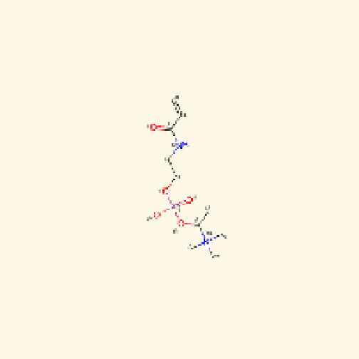 C=CC(=O)NCCOP(=O)([O-])OC(C)[N+](C)(C)C